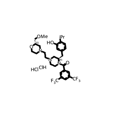 COC[C@@H]1CN(CCN2CCN(C(=O)c3cc(C(F)(F)F)cc(C(F)(F)F)c3)[C@H](Cc3ccc(C(C)C)c(O)c3)C2)CCO1.Cl.Cl